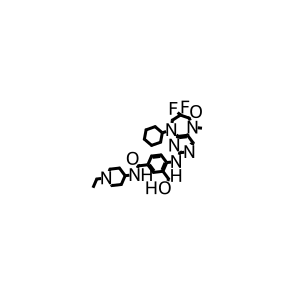 CCN1CCC(NC(=O)c2ccc(Nc3ncc4c(n3)N(C3CCCCC3)CC(F)(F)C(=O)N4C)c(CO)c2)CC1